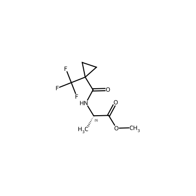 COC(=O)[C@H](C)NC(=O)C1(C(F)(F)F)CC1